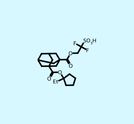 CCC1(OC(=O)C23CC4CC(CC(C(=O)OCC(F)(F)S(=O)(=O)O)(C4)C2)C3)CCCC1